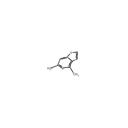 Cc1nc(N)cc2sccc12